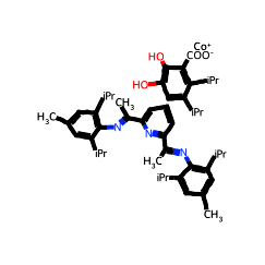 CC(=Nc1c(C(C)C)cc(C)cc1C(C)C)c1cccc(C(C)=Nc2c(C(C)C)cc(C)cc2C(C)C)n1.CC(C)c1cc(O)c(O)c(C(=O)[O-])c1C(C)C.[Co+]